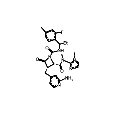 CCC(NC(=O)N1C(=O)[C@H](Cc2ccnc(N)c2)[C@H]1C(=O)N(C)c1nccn1C)c1ccc(C)cc1F